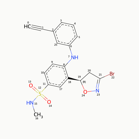 C#Cc1cccc(Nc2ccc(S(=O)(=O)NC)cc2[C@H]2CC(Br)=NO2)c1